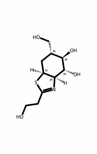 OCCC1=N[C@@H]2[C@@H](O)[C@H](O)[C@@H](CO)C[C@@H]2S1